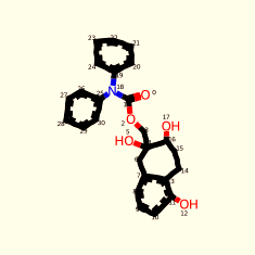 O=C(OCC1(O)Cc2cccc(O)c2CCC1O)N(c1ccccc1)c1ccccc1